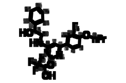 CCCOc1ccc(-c2cc(NC[C@H](O)c3ccccc3)ncn2)cc1F.O=C(O)C(F)(F)F